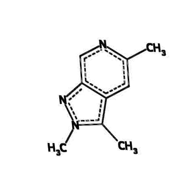 Cc1cc2c(C)n(C)nc2cn1